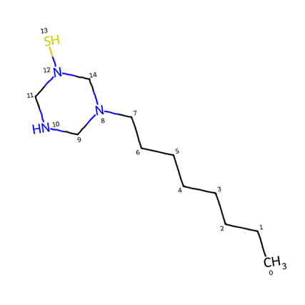 CCCCCCCCN1CNCN(S)C1